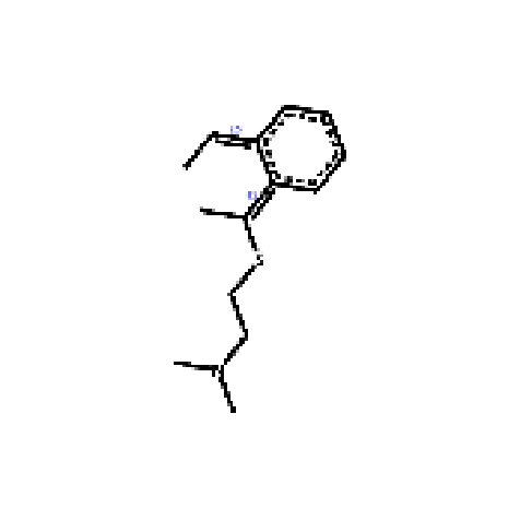 C/C=c1/cccc/c1=C(/C)SCCN(C)C